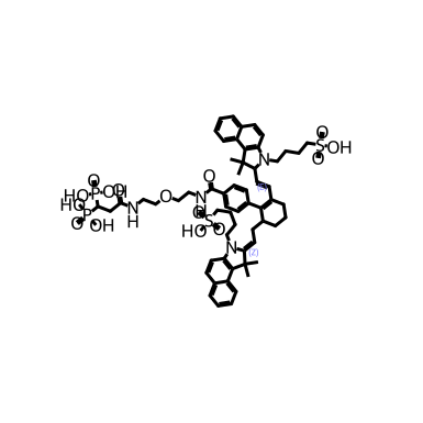 CC1(C)/C(=C/CC2CCCC(/C=C/C3N(CCCCS(=O)(=O)O)c4ccc5ccccc5c4C3(C)C)=C2c2ccc(C(=O)NCCOCCNC(=O)CC(P(=O)(O)O)P(=O)(O)O)cc2)N(CCCCS(=O)(=O)O)c2ccc3ccccc3c21